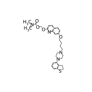 CN(C)C(=O)OCOc1ccc2ccc(OCCCCN3CCN(c4cccc5c4CCS5)CC3)cc2n1